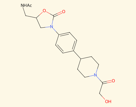 CC(=O)NCC1CN(c2ccc(C3CCN(C(=O)CO)CC3)cc2)C(=O)O1